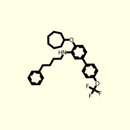 FC(F)(F)Oc1ccc(-c2ccc(OC3CCCCCC3)c(NCCCCc3ccccc3)c2)cc1